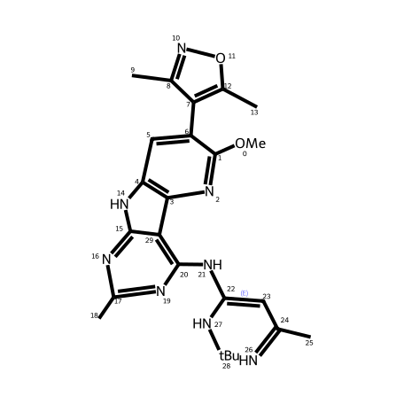 COc1nc2c(cc1-c1c(C)noc1C)[nH]c1nc(C)nc(N/C(=C/C(C)=N)NC(C)(C)C)c12